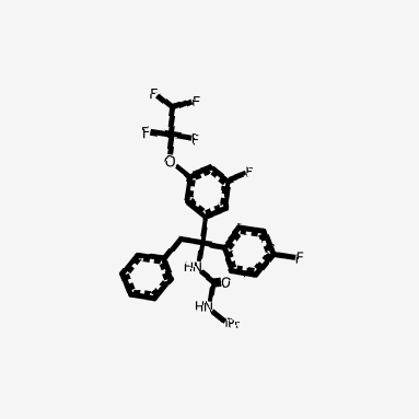 CC(C)NC(=O)NC(Cc1ccccc1)(c1ccc(F)cc1)c1cc(F)cc(OC(F)(F)C(F)F)c1